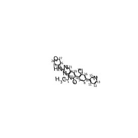 CCn1c(=O)c(-c2ccc(-c3cccnc3)cc2Cl)cc2cnc(NC3CCOCC3)nc21